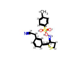 Cc1ccc(S(=O)(=O)ON=C2CCSC2=C2C=C(CC#N)C=CC2)cc1